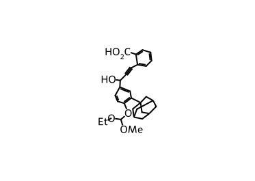 CCOC(OC)Oc1ccc(C(O)C#Cc2ccccc2C(=O)O)cc1C12CC3CC(CC(C3)C1)C2